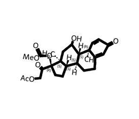 COC(=O)O[C@]1(C(=O)COC(C)=O)CC[C@H]2[C@@H]3CCC4=CC(=O)C=C[C@]4(C)[C@H]3C(O)C[C@@]21C